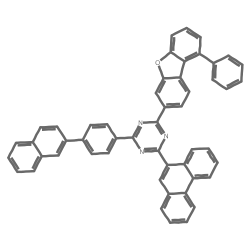 c1ccc(-c2cccc3oc4cc(-c5nc(-c6ccc(-c7ccc8ccccc8c7)cc6)nc(-c6cc7ccccc7c7ccccc67)n5)ccc4c23)cc1